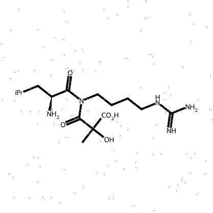 CC(C)C[C@H](N)C(=O)N(CCCCNC(=N)N)C(=O)C(C)(O)C(=O)O